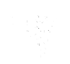 CC[C@@]1(O)C(=O)OCc2c1cc1n(c2=O)Cc2c-1nc1cc(F)c(C)c3c1c2[C@@H](NC(=O)C(C)(C)COCNC(=O)[C@H](C)NC(=O)[C@@H](NC(=O)[C@H](CCC(=O)NC[C@H]1O[C@@H](CC(N)=O)[C@H](O)[C@@H]1O)NC(=O)CCN)C(C)C)CC3